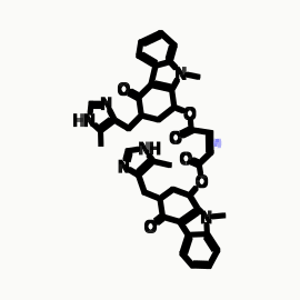 Cc1[nH]cnc1CC1CC(OC(=O)/C=C\C(=O)OC2CC(Cc3nc[nH]c3C)C(=O)c3c2n(C)c2ccccc32)c2c(c3ccccc3n2C)C1=O